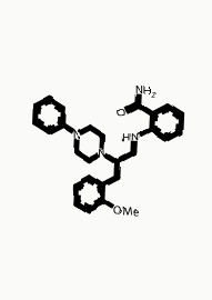 COc1ccccc1CC(CNc1ccccc1C(N)=O)N1CCN(c2ccccc2)CC1